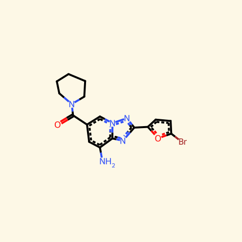 Nc1cc(C(=O)N2CCCCC2)cn2nc(-c3ccc(Br)o3)nc12